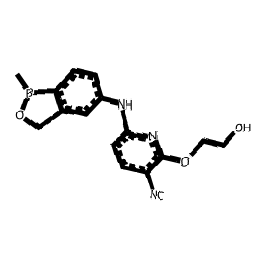 [C-]#[N+]c1ccc(Nc2ccc3c(c2)COB3C)nc1OCCO